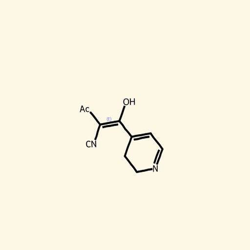 [C-]#[N+]/C(C(C)=O)=C(/O)C1=CC=NCC1